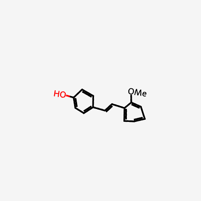 COc1ccccc1C=Cc1ccc(O)cc1